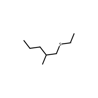 C[CH]SCC(C)CCC